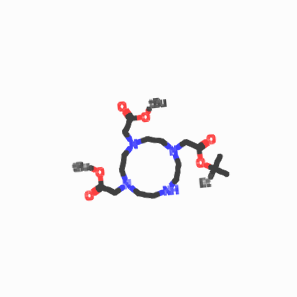 CCC(C)(C)OC(=O)CN1CCNCCN(CC(=O)OC(C)(C)C)CCN(CC(=O)OC(C)(C)C)CC1